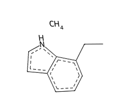 C.CCc1cccc2cc[nH]c12